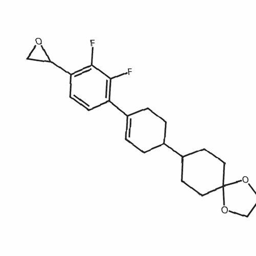 Fc1c(C2=CCC(C3CCC4(CC3)OCCO4)CC2)ccc(C2CO2)c1F